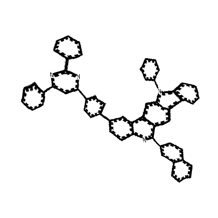 c1ccc(-c2cc(-c3ccc(-c4ccc5nc(-c6ccc7ccccc7c6)c6cc7c8ccccc8n(-c8ccccc8)c7cc6c5c4)cc3)nc(-c3ccccc3)n2)cc1